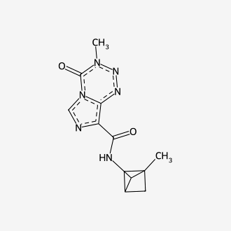 Cn1nnc2c(C(=O)NC3C4CC3(C)C4)ncn2c1=O